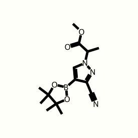 COC(=O)C(C)n1cc(B2OC(C)(C)C(C)(C)O2)c(C#N)n1